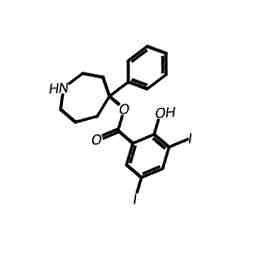 O=C(OC1(c2ccccc2)CCCNCC1)c1cc(I)cc(I)c1O